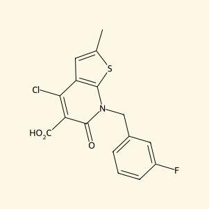 Cc1cc2c(Cl)c(C(=O)O)c(=O)n(Cc3cccc(F)c3)c2s1